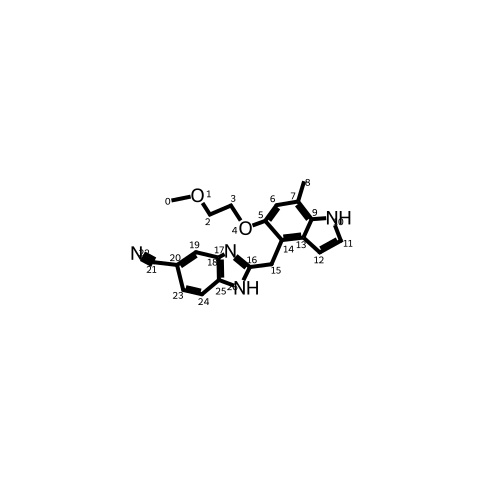 COCCOc1cc(C)c2[nH]ccc2c1Cc1nc2cc(C#N)ccc2[nH]1